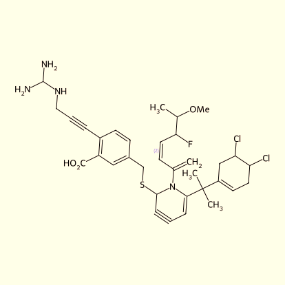 C=C(/C=C\C(F)C(C)OC)N1C(C(C)(C)C2=CCC(Cl)C(Cl)C2)=CC#CC1SCc1ccc(C#CCNC(N)N)c(C(=O)O)c1